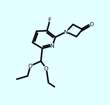 CCOC(OCC)c1ccc(F)c(N2CC(=O)C2)n1